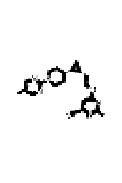 Cc1cnc(N2CCC([C@@H]3C[C@@H]3CCOc3cc(C#N)nc(C)n3)CC2)nc1